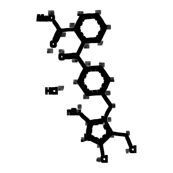 CCCCc1nc(Cl)c(CCl)n1Cc1ccc(C(=O)c2ccccc2C(=O)OC)cc1.Cl